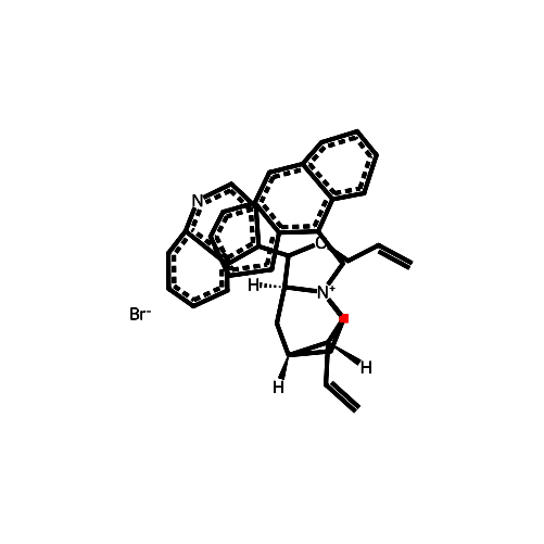 C=CCOC(c1ccnc2ccccc12)[C@@H]1C[C@@H]2CC[N+]1(Cc1c3ccccc3cc3ccccc13)C[C@@H]2C=C.[Br-]